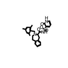 Cc1cc(C)c(CN2CCc3ccccc3CC2C(=O)NS(=O)(=O)c2ccc[nH]c2=O)c(C)c1